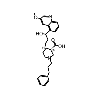 COc1cnc2cccc(C(O)CC[C@@H]3CCN(CCCc4ccccc4)C[C@@H]3C(=O)O)c2c1